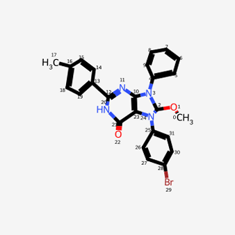 COC1N(c2ccccc2)c2nc(-c3ccc(C)cc3)[nH]c(=O)c2N1c1ccc(Br)cc1